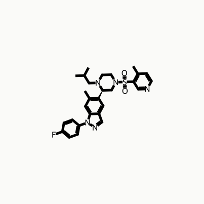 Cc1cc2c(cnn2-c2ccc(F)cc2)cc1[C@@H]1CN(S(=O)(=O)c2cnccc2C)CCN1CC(C)C